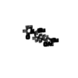 CC(=O)OC(CC(C)(C)C)C(C)(C)C(C)(C)CC(N1CCCC1=O)C(C)(C)C